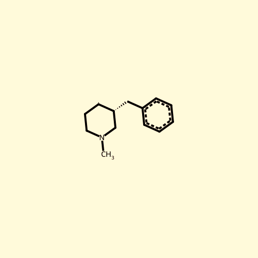 CN1CC[CH][C@H](Cc2ccccc2)C1